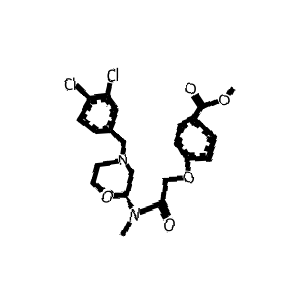 COC(=O)c1ccc(OCC(=O)N(C)[C@@H]2CN(Cc3ccc(Cl)c(Cl)c3)CCO2)cc1